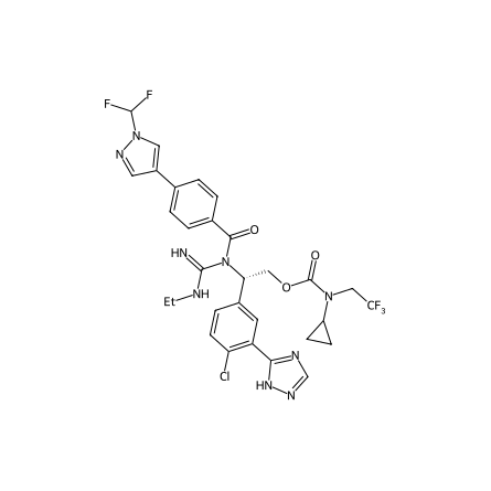 CCNC(=N)N(C(=O)c1ccc(-c2cnn(C(F)F)c2)cc1)[C@H](COC(=O)N(CC(F)(F)F)C1CC1)c1ccc(Cl)c(-c2ncn[nH]2)c1